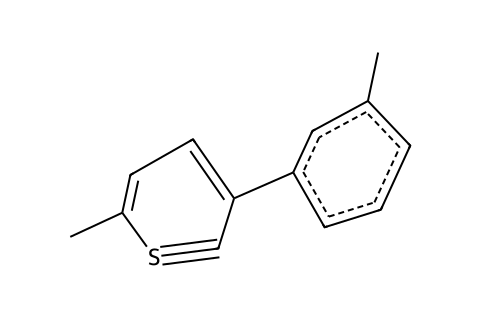 CC1=CC=C(c2cccc(C)c2)C#S1